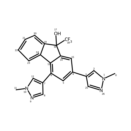 Cn1cc(-c2cc(-c3cnn(C)c3)c3c(c2)C(O)(C(F)(F)F)c2ccccc2-3)cn1